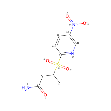 CC(CC(N)=O)S(=O)(=O)c1ccc([N+](=O)[O-])cn1